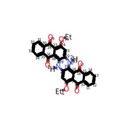 [2H]n1c2cc(OCC)c3c(=O)c4ccccc4c(=O)c3c2n([2H])c2cc(OCC)c3c(=O)c4ccccc4c(=O)c3c21